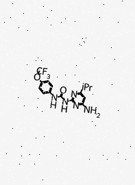 CC(C)c1cc(N)nc(NC(=O)Nc2ccc(OC(F)(F)F)cc2)n1